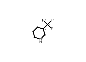 FC(F)(F)C1[CH]NCCC1